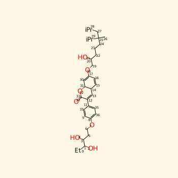 CCC(O)C(O)CCOc1ccc(C2=CC3C=CC(OCC(O)CCCC(C)(CC(C)C)C(C)C)=CC3OC2=O)cc1